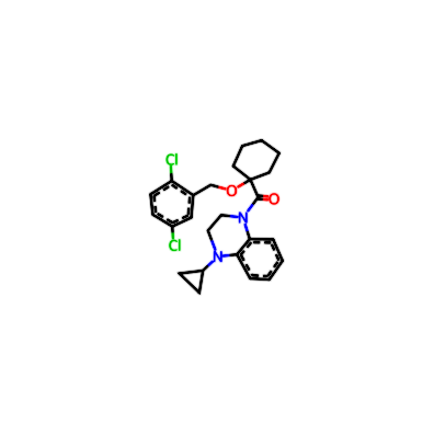 O=C(N1CCN(C2CC2)c2ccccc21)C1(OCc2cc(Cl)ccc2Cl)CCCCC1